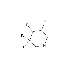 FC1C[N]CC(F)(F)C1F